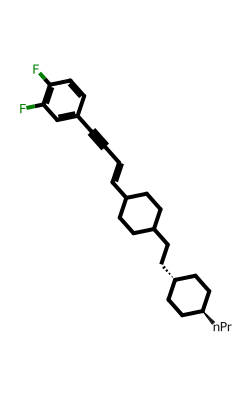 CCC[C@H]1CC[C@H](CCC2CCC(/C=C/C#Cc3ccc(F)c(F)c3)CC2)CC1